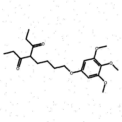 CCC(=O)C(CCCCOc1cc(OC)c(OC)c(OC)c1)C(=O)CC